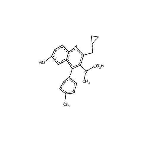 Cc1ccc(-c2c(N(C)C(=O)O)c(CC3CC3)nc3ccc(O)cc23)cc1